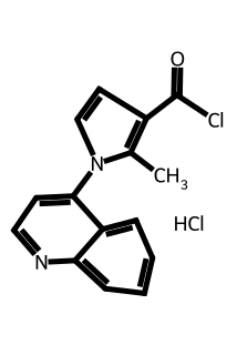 Cc1c(C(=O)Cl)ccn1-c1ccnc2ccccc12.Cl